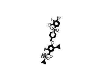 O=C(NS(=O)(=O)C1CC1)c1cc(C2CC2)c(OCC2CCN(S(=O)(=O)c3ccc(Br)c(F)c3Cl)CC2)cc1F